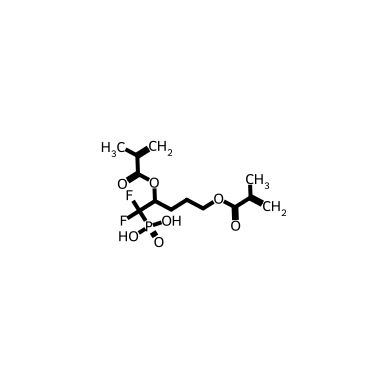 C=C(C)C(=O)OCCCC(OC(=O)C(=C)C)C(F)(F)P(=O)(O)O